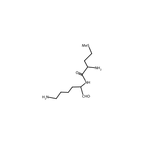 CSCCC(N)C(=O)NC([C]=O)CCCCN